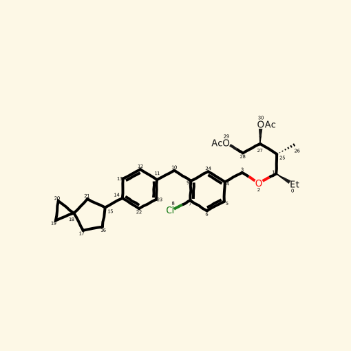 CC[C@@H](OCc1ccc(Cl)c(Cc2ccc(C3CCC4(CC4)C3)cc2)c1)[C@@H](C)[C@@H](COC(C)=O)OC(C)=O